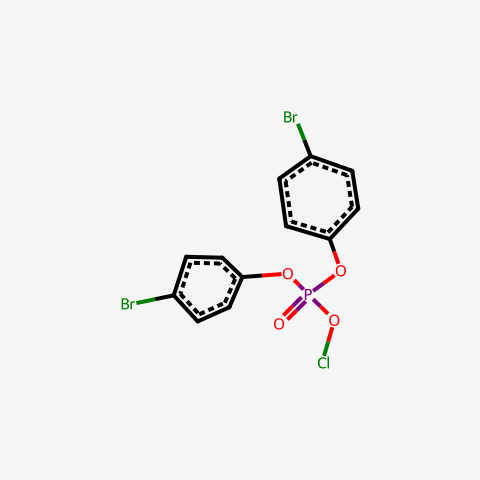 O=P(OCl)(Oc1ccc(Br)cc1)Oc1ccc(Br)cc1